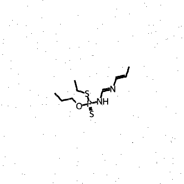 CC=CN=CNP(=S)(OCCC)SCC